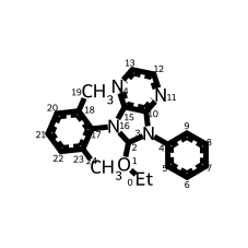 CCOC1N(c2ccccc2)c2nccnc2N1c1c(C)cccc1C